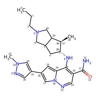 CCCN1CC2C[C@@H](Nc3c(C(N)=O)cnn4cc(-c5cnn(C)c5)cc34)[C@H](C)C2C1